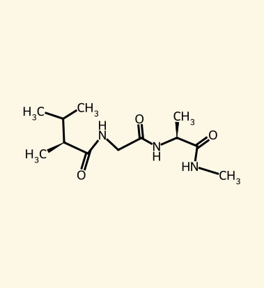 CNC(=O)[C@H](C)NC(=O)CNC(=O)[C@@H](C)C(C)C